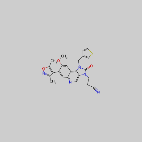 COc1cc2c(cc1-c1c(C)noc1C)ncc1c2n(Cc2ccsc2)c(=O)n1CCC#N